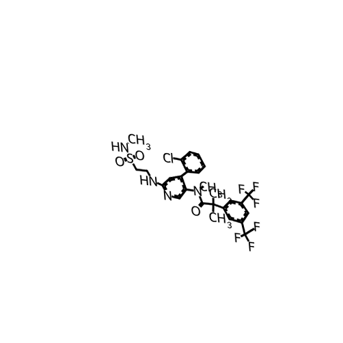 CNS(=O)(=O)CCNc1cc(-c2ccccc2Cl)c(N(C)C(=O)C(C)(C)c2cc(C(F)(F)F)cc(C(F)(F)F)c2)cn1